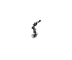 Cc1nc(OCC2CC2)ccc1-c1cccc(OCc2ccc(C(=O)NS(C)(=O)=O)cc2F)c1